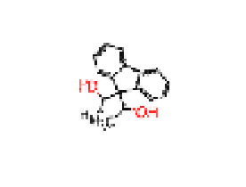 CC(O)C1(C(C)O)c2ccccc2-c2ccccc21